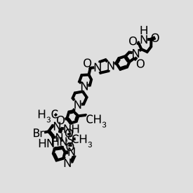 CCc1cc(Nc2ncc(Br)c(Nc3ccc4nccnc4c3NS(C)(=O)=O)n2)c(OC)cc1N1CCC(N2CCC(C(=O)N3CCN(c4ccc5c(c4)CN(C4CCC(=O)NC4=O)C5=O)CC3)CC2)CC1